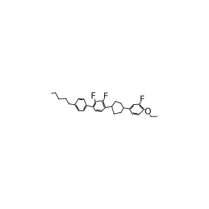 CCCCCc1ccc(-c2ccc(C3CCC(c4ccc(OCC)c(F)c4)CC3)c(F)c2F)cc1